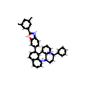 Cc1cc(C)cc(-c2nc3ccc(-c4ccc5ccccc5c4-c4ccccc4C(=N)/C=C\C(=N)c4ccccc4)cc3o2)c1